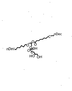 CCCCCCCCCCCCCCCCCCCCC(=O)O[C@H](COCCCCCCCCCCCCCCCC)COP(=O)(O)OC[C@@H](O)CO